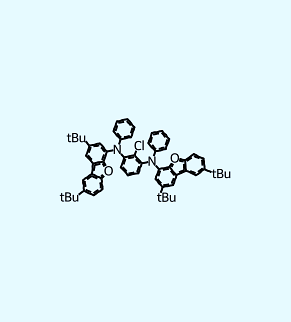 CC(C)(C)c1ccc2oc3c(N(c4ccccc4)c4cccc(N(c5ccccc5)c5cc(C(C)(C)C)cc6c5oc5ccc(C(C)(C)C)cc56)c4Cl)cc(C(C)(C)C)cc3c2c1